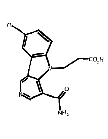 NC(=O)c1cncc2c3cc(Cl)ccc3n(CCC(=O)O)c12